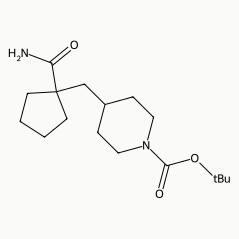 CC(C)(C)OC(=O)N1CCC(CC2(C(N)=O)CCCC2)CC1